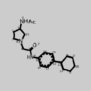 CC(=O)NC1CCN(CC(=O)Nc2ccc(C3CCCCC3)cc2)C1